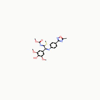 COC(=O)N=C(SC)C(=Nc1ccc(-c2noc(C)n2)cc1)c1cc(OC)c(O)c(OC)c1